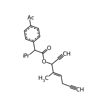 C#CC/C=C(\C)C(C#C)OC(=O)C(c1ccc(C(C)=O)cc1)C(C)C